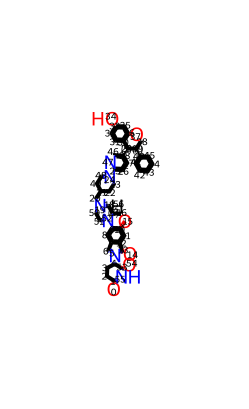 O=C1CCC(N2Cc3cc4c(cc3C2=O)OC[C@@H]2CN(CC3CCN(c5ccc([C@H]6c7ccc(O)cc7OC[C@H]6c6ccccc6)cn5)CC3)CCN42)C(=O)N1